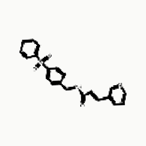 O=C(/C=C/c1cccnc1)NCc1ccc(S(=O)(=O)c2ccccc2)cc1